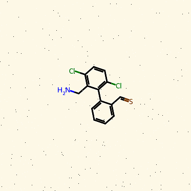 NCc1c(Cl)ccc(Cl)c1-c1ccccc1C=S